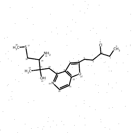 CCC(Cl)CCc1cc2c(CC(C)(O)C(N)CSC)nccc2o1